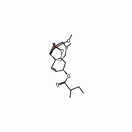 CCC(C)C(=O)O[C@H]1C=C[C@@]23CCN(C)Cc4ccc(OC)c(c42)OC3C1